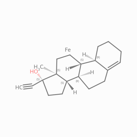 C#C[C@]1(O)CC[C@H]2[C@@H]3CCC4=CCCC[C@@H]4[C@H]3CC[C@@]21C.[Fe]